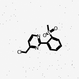 CS(=O)(=O)c1ccccc1-c1nccc(CCl)n1